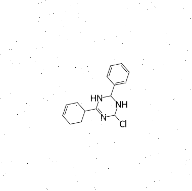 ClC1N=C(C2CC=CCC2)NC(c2ccccc2)N1